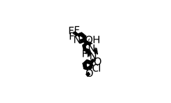 COc1cccc(C(=O)N2CCN3C[C@](O)(c4ccc(C(F)(F)F)nc4)CC[C@H]3C2)c1Cl